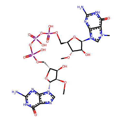 CO[C@@H]1[C@H](O)[C@@H](COP(=O)(O)OP(=O)(O)OP(=O)(O)OC[C@H]2O[C@@H](n3c[n+](C)c4c(=O)[nH]c(N)nc43)[C@@H](O)[C@@H]2OC)O[C@H]1n1cnc2c(=O)[nH]c(N)nc21